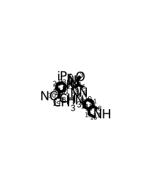 CC(C)n1c(=O)c2cnc(Nc3ccc4c(c3)CCNC4)nc2n1-c1cccc(C(C)(C)C#N)c1